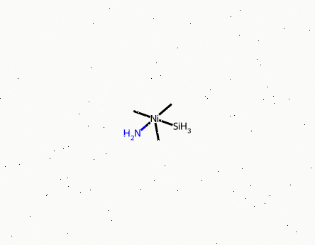 [CH3][Ni]([CH3])([CH3])([NH2])[SiH3]